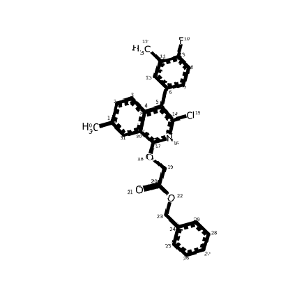 Cc1ccc2c(-c3ccc(F)c(C)c3)c(Cl)nc(OCC(=O)OCc3ccccc3)c2c1